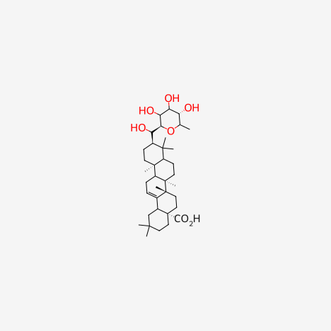 CC1O[C@@H](C(O)[C@@H]2CC[C@@]3(C)C(CC[C@]4(C)C3CC=C3C5CC(C)(C)CC[C@]5(C(=O)O)CC[C@]34C)C2(C)C)C(O)C(O)[C@@H]1O